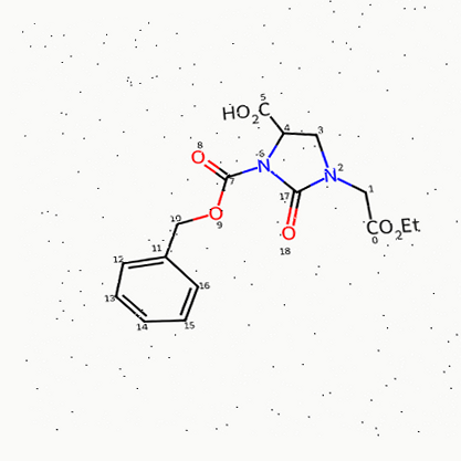 CCOC(=O)CN1CC(C(=O)O)N(C(=O)OCc2ccccc2)C1=O